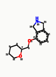 c1cc2c(c(OCC3CCCCO3)c1)CNC2